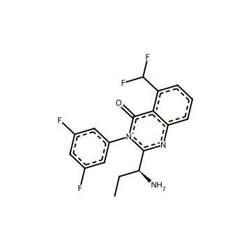 CC[C@H](N)c1nc2cccc(C(F)F)c2c(=O)n1-c1cc(F)cc(F)c1